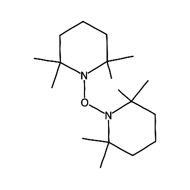 CC1(C)CCCC(C)(C)N1ON1C(C)(C)CCCC1(C)C